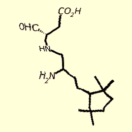 CC1(C)CCC(C)(C)C1CCC(N)CN[C@H](C=O)CC(=O)O